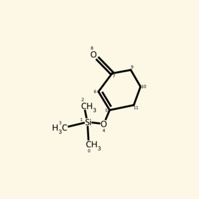 C[Si](C)(C)OC1=CC(=O)CCC1